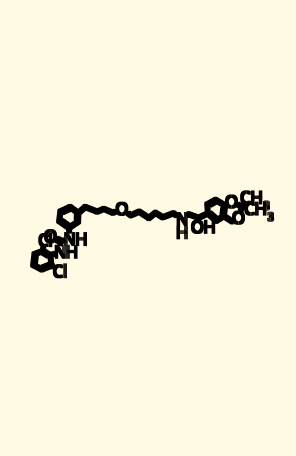 CC1(C)OCc2cc([C@@H](O)CNCCCCCCOCCCCc3cccc(NC(=O)Nc4c(Cl)cccc4Cl)c3)ccc2O1